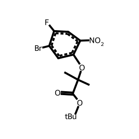 CC(C)(C)OC(=O)C(C)(C)Oc1cc(Br)c(F)cc1[N+](=O)[O-]